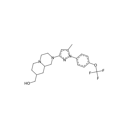 Cc1cc(N2CCN3CCC(CO)CC3C2)nn1-c1ccc(OC(F)(F)F)cc1